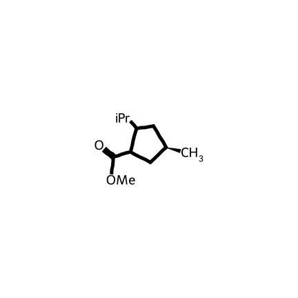 COC(=O)C1C[C@H](C)CC1C(C)C